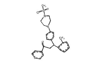 Cc1ccccc1C(CC(=O)c1ccncc1)c1ccc(N2CCN(S(C)(=O)=O)CC2)cc1